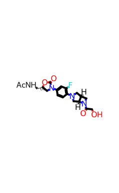 CC(=O)NC[C@H]1CN(c2ccc(N3C[C@@H]4CN(C(=O)CO)[C@@H]4C3)c(F)c2)C(=O)O1